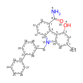 CCc1cc(O)c2c3c(C(N)=O)cccc3n(Cc3cccc(-c4ccccc4)c3)c2c1